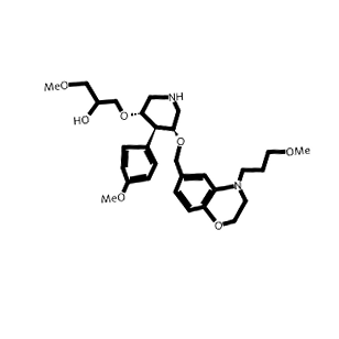 COCCCN1CCOc2ccc(CO[C@H]3CNC[C@@H](OCC(O)COC)[C@@H]3c3ccc(OC)cc3)cc21